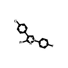 CC(C)c1nn(-c2ccc(F)cc2)cc1-c1ccc(Cl)cc1